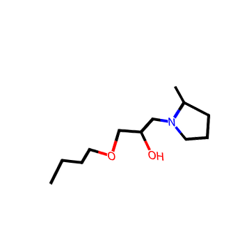 CCCCOCC(O)CN1CCCC1C